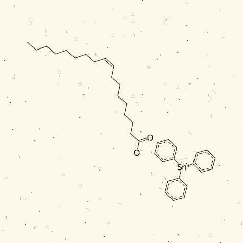 CCCCCCCC/C=C\CCCCCCCC(=O)[O-].c1cc[c]([Sn+]([c]2ccccc2)[c]2ccccc2)cc1